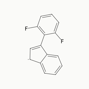 Fc1cccc(F)c1C1=C[CH]c2ccccc21